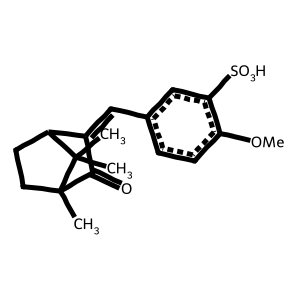 COc1ccc(C=C2C(=O)C3(C)CCC2C3(C)C)cc1S(=O)(=O)O